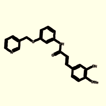 COc1ccc(C=CC(=O)Nc2cccc(OCc3cccnc3)c2)cc1O